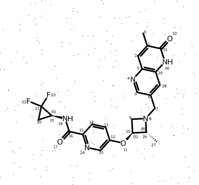 Cc1cc2ncc(CN3C[C@H](Oc4ccc(C(=O)N[C@H]5CC5(F)F)nc4)[C@H]3C)cc2[nH]c1=O